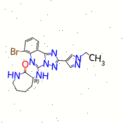 CCn1cc(-c2nc3c4cccc(Br)c4nc(N[C@@H]4CCCCNC4=O)n3n2)cn1